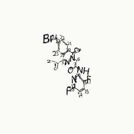 CC(C)c1nn(CC(=O)Nc2nc(F)ccc2F)c(=O)c2ccc(Br)cc12